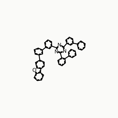 c1ccc(-c2cccc(-c3nc(-c4cccc(-c5cccc(-c6ccc7c(c6)oc6ccccc67)c5)c4)nc(-c4ccccc4-c4ccccc4)n3)c2)cc1